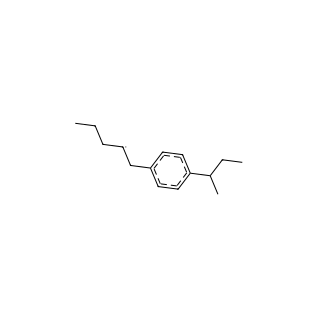 CCC[CH]Cc1ccc(C(C)CC)cc1